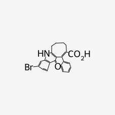 O=C(O)C1=C(c2ccccc2)c2c([nH]c3cc(Br)ccc3c2=O)CCCC1